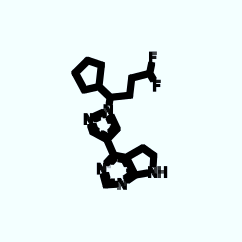 FC(F)CCC(C1CCCC1)n1cc(-c2ncnc3c2CCN3)cn1